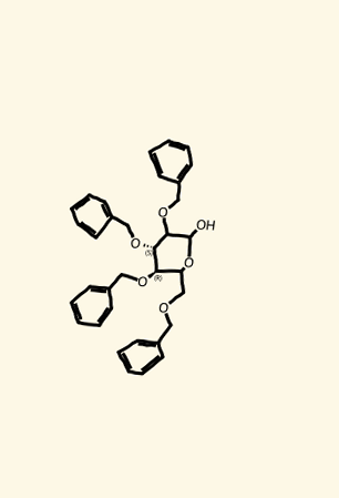 OC1OC(COCc2ccccc2)[C@@H](OCc2ccccc2)[C@H](OCc2ccccc2)C1OCc1ccccc1